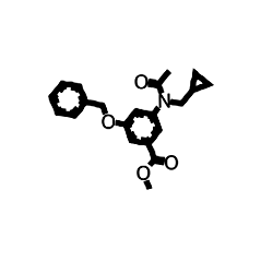 COC(=O)c1cc(OCc2ccccc2)cc(N(CC2CC2)C(C)=O)c1